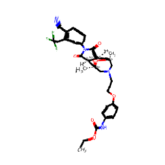 CCOC(=O)Nc1ccc(OCCN2C[C@@]3(C)O[C@@](C)(C2)[C@H]2C(=O)N(c4ccc(C#N)c(C(F)(F)F)c4)C(=O)[C@H]23)cc1